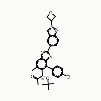 CC(=O)[C@@H](OC(C)(C)C)c1c(C)cc2nc(-c3ccc4nn(C5COC5)cc4c3)sc2c1-c1ccc(Cl)cc1